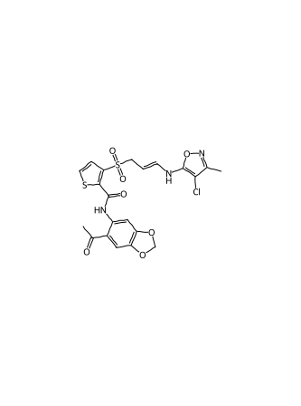 CC(=O)c1cc2c(cc1NC(=O)c1sccc1S(=O)(=O)CC=CNc1onc(C)c1Cl)OCO2